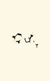 CC(=O)OC[C@@]1(C#N)O[C@@H](n2ccc(=O)[nH]c2=O)C[C@@H]1O